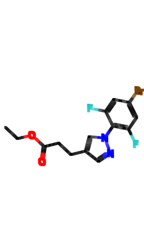 CCOC(=O)CCc1cnn(-c2c(F)cc(Br)cc2F)c1